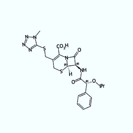 CC(C)O[C@@H](C(=O)N[C@@H]1C(=O)N2C(C(=O)O)=C(CSc3nnnn3C)CS[C@H]12)c1ccccc1